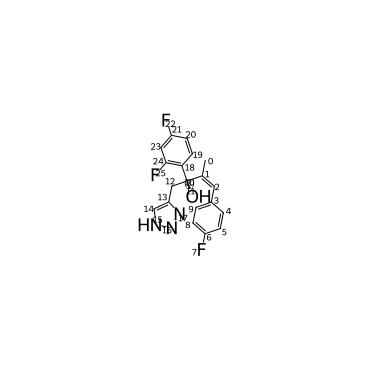 CC(=Cc1ccc(F)cc1)[C@](O)(Cc1c[nH]nn1)c1ccc(F)cc1F